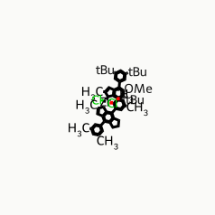 COc1c(C(C)(C)C)cc2c(c1-c1cc(C(C)(C)C)cc(C(C)(C)C)c1)C=C(C)[CH]2[Zr]([Cl])([Cl])[CH]1C(C)=Cc2c(-c3cc(C)cc(C)c3)c3c(c(-c4cc(C)cc(C)c4)c21)CCC3